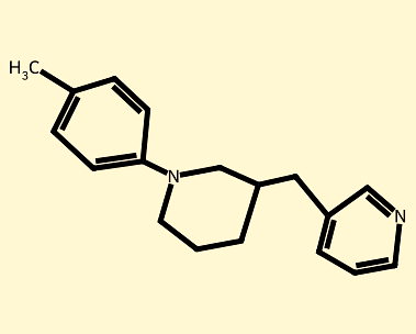 Cc1ccc(N2CCCC(Cc3cccnc3)C2)cc1